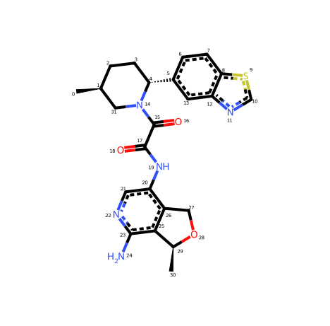 C[C@H]1CC[C@H](c2ccc3scnc3c2)N(C(=O)C(=O)Nc2cnc(N)c3c2CO[C@H]3C)C1